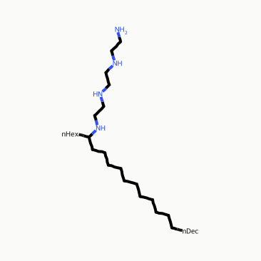 CCCCCCCCCCCCCCCCCCCCCC(CCCCCC)NCCNCCNCCN